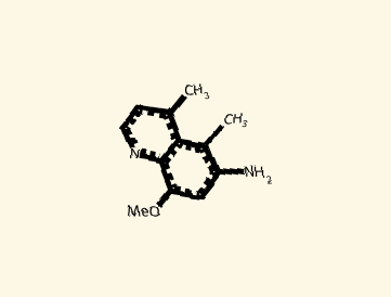 COc1cc(N)c(C)c2c(C)ccnc12